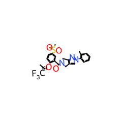 Cc1ccccc1-n1cc2c(n1)CN(C(=O)c1cc(S(C)(=O)=O)ccc1O[C@@H](C)C(F)(F)F)C2